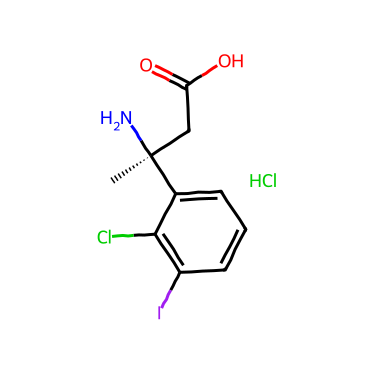 C[C@](N)(CC(=O)O)c1cccc(I)c1Cl.Cl